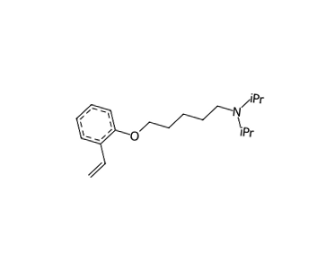 C=Cc1ccccc1OCCCCCN(C(C)C)C(C)C